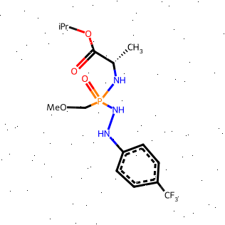 COCP(=O)(NNc1ccc(C(F)(F)F)cc1)N[C@@H](C)C(=O)OC(C)C